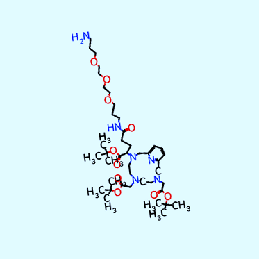 CC(C)(C)OC(=O)CN1CCN(CC(=O)OC(C)(C)C)Cc2cccc(n2)CN(C(CCC(=O)NCCCOCCOCCOCCCN)C(=O)OC(C)(C)C)CC1